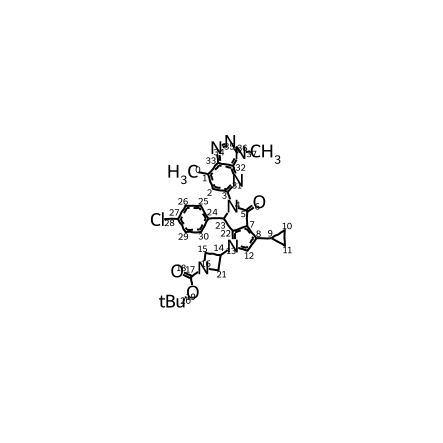 Cc1cc(N2C(=O)c3c(C4CC4)cn(C4CN(C(=O)OC(C)(C)C)C4)c3C2c2ccc(Cl)cc2)nc2c1nnn2C